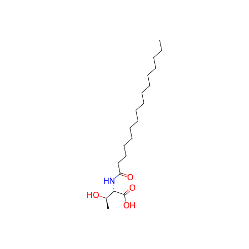 CCCCCCCCCCCCCCCC(=O)N[C@H](C(=O)O)[C@@H](C)O